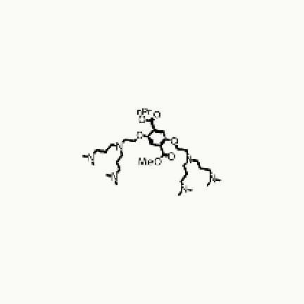 CCCOC(=O)c1cc(OCCN(CCCN(C)C)CCCN(C)C)c(C(=O)OC)cc1OCCN(CCCN(C)C)CCCN(C)C